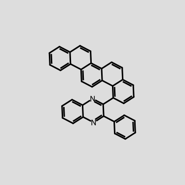 c1ccc(-c2nc3ccccc3nc2-c2cccc3ccc4c5ccc6ccccc6c5ccc4c23)cc1